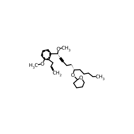 C=CCc1c(OC)cccc1[C@@H](C#CCC[C@H](CCCCC)OC1CCCCO1)OC